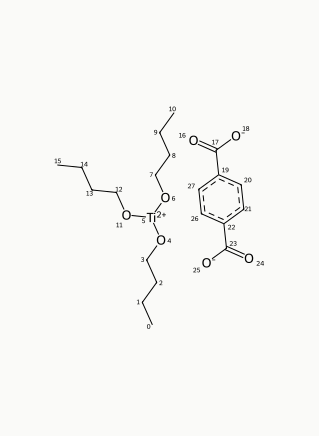 CCCC[O][Ti+2]([O]CCCC)[O]CCCC.O=C([O-])c1ccc(C(=O)[O-])cc1